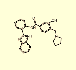 O=C(Nc1ccccc1-c1nc2ccccc2[nH]1)c1ccc(CN2CCCC2)c(O)c1